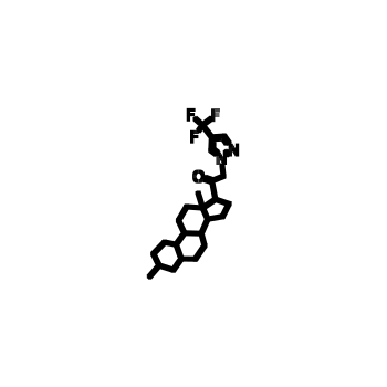 CC1CCC2C(CCC3C2CCC2(C)C(C(=O)Cn4cc(C(F)(F)F)cn4)CCC32)C1